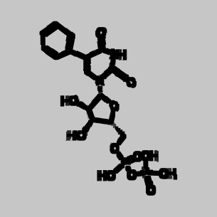 O=c1[nH]c(=O)n([C@@H]2O[C@H](COP(=O)(O)OP(=O)(O)O)[C@@H](O)[C@H]2O)cc1-c1ccccc1